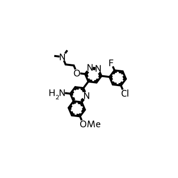 COc1ccc2c(N)cc(-c3cc(-c4cc(Cl)ccc4F)nnc3OCCN(C)C)nc2c1